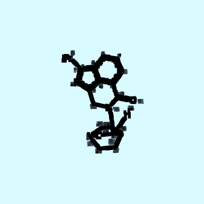 CC(C)n1nc2c3c(cccc31)C(=O)N([C@H]1CN3CCC1CC3)C2